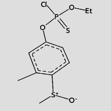 CCOP(=S)(Cl)Oc1ccc([S+](C)[O-])c(C)c1